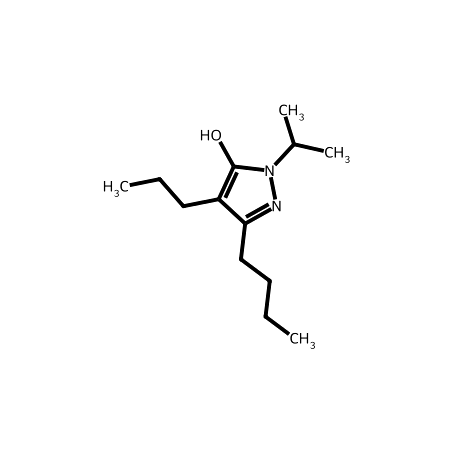 CCCCc1nn(C(C)C)c(O)c1CCC